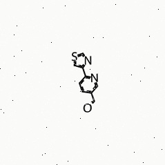 O=Cc1ccc(-c2cscn2)nc1